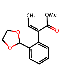 CC=C(C(=O)OC)c1ccccc1C1OCCO1